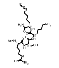 CC(=O)N[C@@H](CCCNC(=N)N)C(=O)N[C@@H](CO)C(=O)N[C@@H](CCCCN)C(=O)N[C@@H](CCCCN=[N+]=[N-])C(N)=O